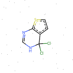 ClC1(Cl)NC=Nc2sccc21